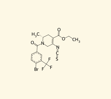 CCOC(=O)C1=C(N=C=S)CN(C(=O)c2ccc(Br)c(C(F)(F)F)c2)[C@H](C)C1